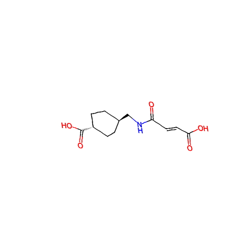 O=C(O)C=CC(=O)NC[C@H]1CC[C@H](C(=O)O)CC1